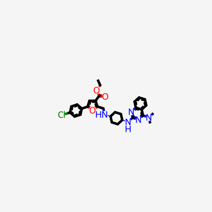 CCOC(=O)c1cc(-c2ccc(Cl)cc2)oc1CN[C@H]1CC[C@@H](Nc2nc(N(C)C)c3ccccc3n2)CC1